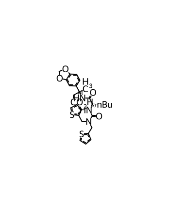 CCCC[C@H](NC(=O)N(Cc1cccs1)Cc1cccs1)C(=O)N[C@](C)(CC(=O)O)c1ccc2c(c1)OCO2